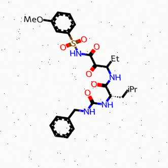 CCC(NC(=O)[C@H](CC(C)C)NC(=O)NCc1ccccc1)C(=O)C(=O)NS(=O)(=O)c1cccc(OC)c1